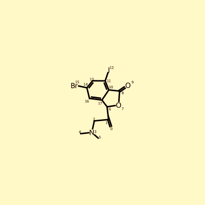 C=C(CN(C)C)C1OC(=O)c2c(I)cc(Br)cc21